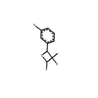 [CH2]C1(F)C(F)SC1c1cccc(F)c1